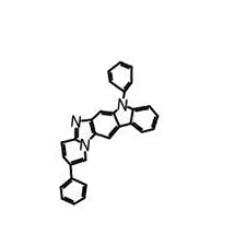 c1ccc(-c2ccc3nc4cc5c(cc4n3c2)c2ccccc2n5-c2ccccc2)cc1